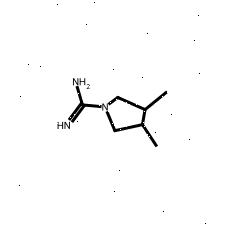 CC1CN(C(=N)N)CC1C